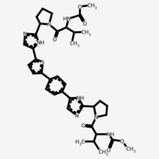 COC(=O)NC(C(=O)N1CCCC1c1ncc(-c2ccc(-c3ccc(-c4cnc(C5CCCN5C(=O)C(NC(=O)OC)C(C)C)[nH]4)s3)cc2)[nH]1)C(C)C